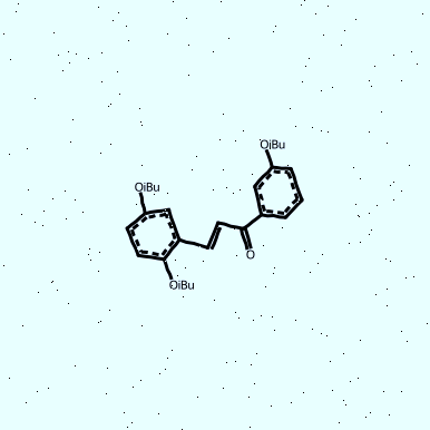 CC(C)COc1cccc(C(=O)C=Cc2cc(OCC(C)C)ccc2OCC(C)C)c1